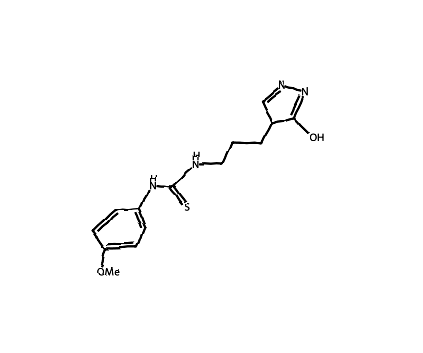 COc1ccc(NC(=S)NCCCC2C=NN=C2O)cc1